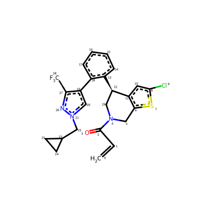 C=CC(=O)N1Cc2sc(Cl)cc2[C@H](c2ccccc2-c2cn(CC3CC3)nc2C(F)(F)F)C1